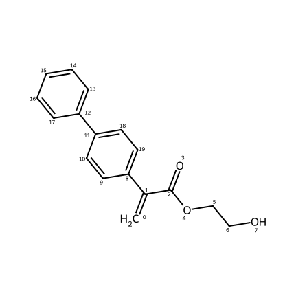 C=C(C(=O)OCCO)c1ccc(-c2ccccc2)cc1